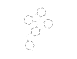 c1ccc2c(c1)-c1ccccc1C21c2ccccc2-c2cc3c(cc21)Cc1ccncc1-3